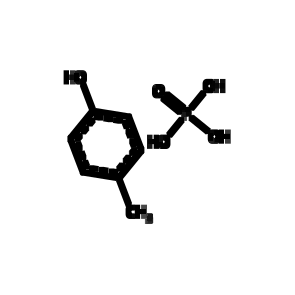 Cc1ccc(O)cc1.O=P(O)(O)O